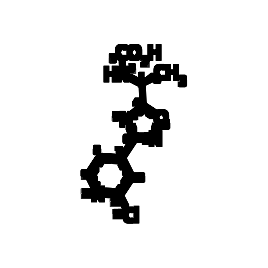 C[C@H](NC(=O)O)c1nc(-c2ccnc(Cl)c2)no1